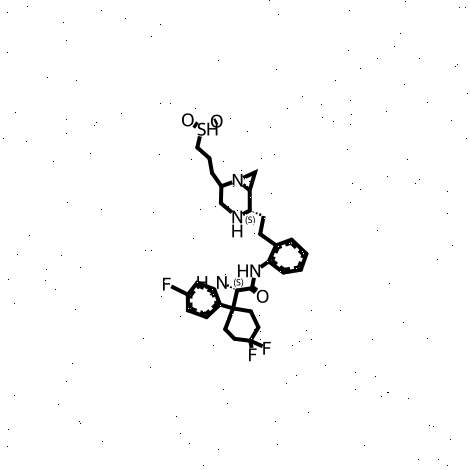 N[C@H](C(=O)Nc1ccccc1CC[C@@H]1NCC(CCC[SH](=O)=O)N2CC12)C1(c2ccc(F)cc2)CCC(F)(F)CC1